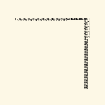 [Hg].[Hg].[Hg].[Hg].[Hg].[Hg].[Hg].[Hg].[Hg].[Hg].[Hg].[Hg].[Hg].[Hg].[Hg].[Hg].[Hg].[Hg].[Hg].[Hg].[Hg].[Hg].[Hg].[Hg].[Hg].[Hg].[Hg].[Hg].[Hg].[Hg].[Hg].[Hg].[Hg].[Hg].[Hg].[Hg].[Hg].[Hg].[Hg].[Hg].[NaH].[NaH].[NaH].[NaH].[NaH].[NaH].[NaH].[NaH].[NaH].[NaH].[NaH].[NaH].[NaH].[NaH].[NaH]